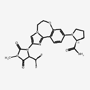 CN1C(=O)C(C(F)F)N(c2cn3c(n2)-c2ccc(N4CCC[C@H]4C(N)=O)cc2OCC3)C1=O